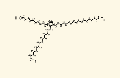 CCCCCCCCCCCCCCCCCCN1C=CN(CCCCCCCCCCC)C1CCCCCCCCCCCCCCC